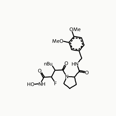 CCCCC(C(=O)N1CCCC1C(=O)NCc1ccc(OC)c(OC)c1)C(F)C(=O)NO